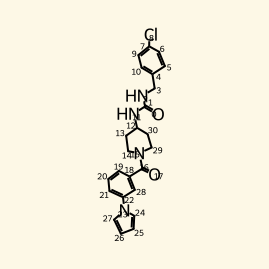 O=C(NCc1ccc(Cl)cc1)NC1CCN(C(=O)c2cccc(-n3cccc3)c2)CC1